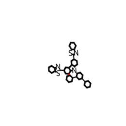 c1ccc(-c2ccc(-n3c4ccc(-c5nc6ccccc6s5)cc4c4cc(-c5nc6ccccc6s5)ccc43)c(-c3ccccc3)c2)cc1